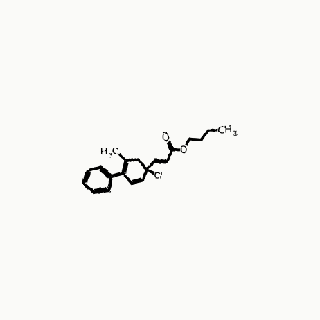 CCCCOC(=O)/C=C/C1(Cl)C=CC(c2ccccc2)=C(C)C1